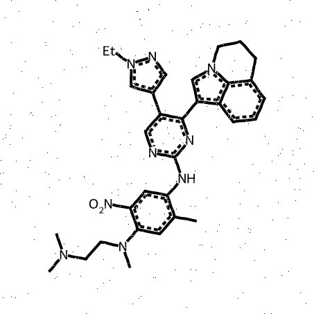 CCn1cc(-c2cnc(Nc3cc([N+](=O)[O-])c(N(C)CCN(C)C)cc3C)nc2-c2cn3c4c(cccc24)CCC3)cn1